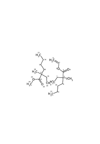 C=COC(=O)C(C)(CC)CCCC.CCCCC(C)(CC)C(=O)OC